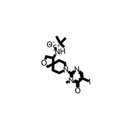 Cn1c(N2CCC3(CC2)COCC3N[S@+]([O-])C(C)(C)C)ncc(I)c1=O